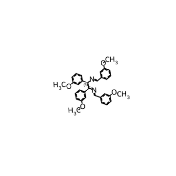 COc1cccc(C=N[C@H](c2cccc(OC)c2)[C@@H](N=Cc2cccc(OC)c2)c2cccc(OC)c2)c1